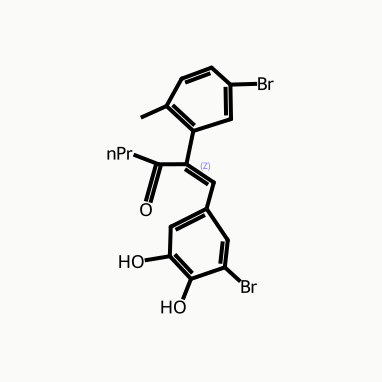 CCCC(=O)/C(=C\c1cc(O)c(O)c(Br)c1)c1cc(Br)ccc1C